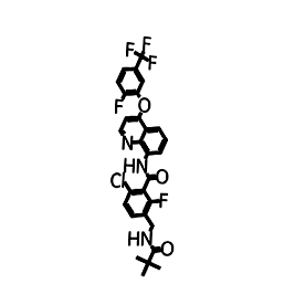 CC(C)(C)C(=O)NCc1ccc(Cl)c(C(=O)Nc2cccc3c(Oc4cc(C(F)(F)F)ccc4F)ccnc23)c1F